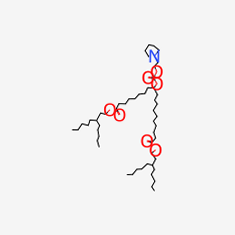 CCCCCC(CCCCC)CCOC(=O)CCCCCCCCCC(CCCCCCCC(=O)OCCC(CCCCC)CCCCC)OC(=O)OCCN1CCCCC1